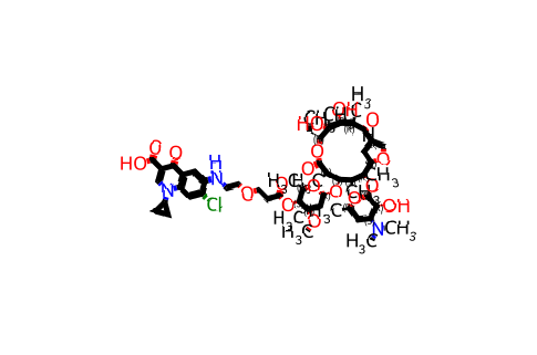 CC[C@H]1OC(=O)[C@H](C)[C@@H](O[C@H]2C[C@@](C)(OC)[C@@H](OC(=O)CCOCCNc3cc4c(=O)c(C(=O)O)cn(C5CC5)c4cc3Cl)[C@H](C)O2)[C@H](C)[C@@H](O[C@@H]2O[C@H](C)C[C@H](N(C)C)[C@H]2O)[C@@]2(C)C[C@@H](CO2)C(=O)[C@H](C)[C@@H](O)[C@]1(C)O